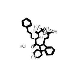 CC(C)(N)C(=O)N[C@H](CCCc1ccccc1)C(=O)C1C(CCC(=O)O)c2ccccc2C12CCNCC2.Cl